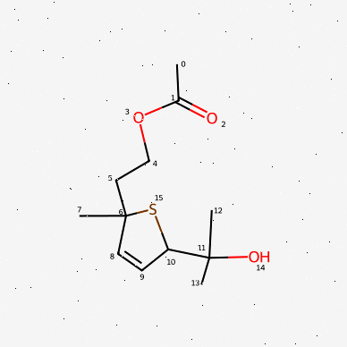 CC(=O)OCCC1(C)C=CC(C(C)(C)O)S1